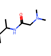 CCC(C)NC(=O)CN(C)C